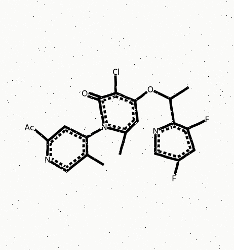 CC(=O)c1cc(-n2c(C)cc(OC(C)c3ncc(F)cc3F)c(Cl)c2=O)c(C)cn1